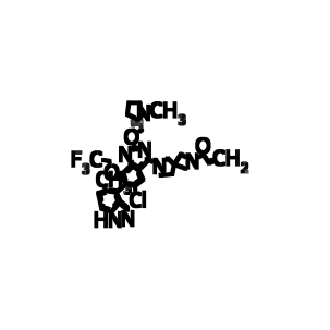 C=CC(=O)N1CC2(CCN(c3nc(OC[C@@H]4CCCN4C)nc4c(OCC(F)(F)F)c(-c5c(C)ccc6[nH]ncc56)c(Cl)cc34)C2)C1